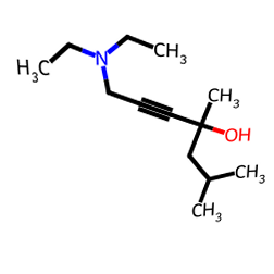 CCN(CC)CC#CC(C)(O)CC(C)C